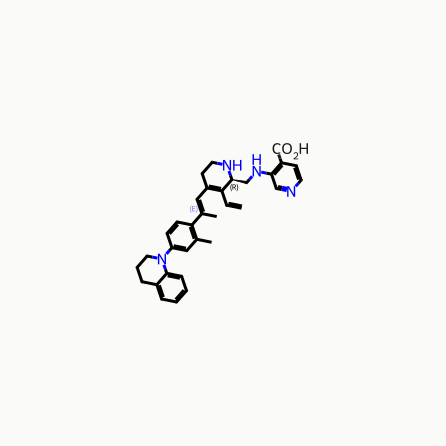 C=CC1=C(/C=C(\C)c2ccc(N3CCCc4ccccc43)cc2C)CCN[C@H]1CNc1cnccc1C(=O)O